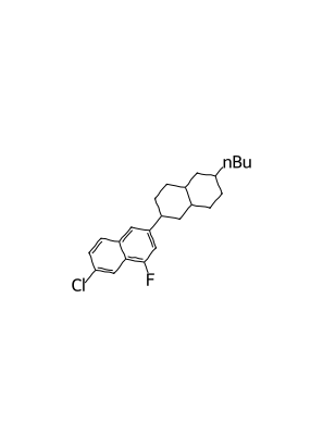 CCCCC1CCC2CC(c3cc(F)c4cc(Cl)ccc4c3)CCC2C1